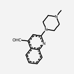 CN1CCN(c2cc(C=O)c3ccccc3n2)CC1